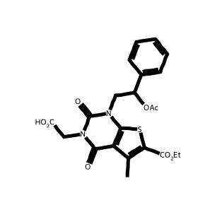 CCOC(=O)c1sc2c(c1C)c(=O)n(CC(=O)O)c(=O)n2CC(OC(C)=O)c1ccccc1